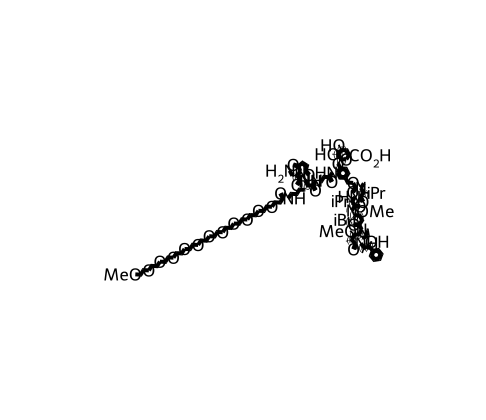 CC[C@H](C)[C@@H]([C@@H](CC(=O)N1CCC[C@H]1[C@H](OC)[C@@H](C)C(=O)N[C@H](C)[C@@H](O)c1ccccc1)OC)N(C)C(=O)[C@@H](NC(=O)[C@H](C(C)C)N(C)C(=O)OCc1ccc(O[C@@H]2OC(C(=O)O)=C[C@H](O)[C@H]2O)c(NC(=O)CCNC(=O)[C@H](CCCCNC(=O)CCOCCOCCOCCOCCOCCOCCOCCOCCOCCOCCOCCOC)NC(=O)[C@@H](CN)N2C(=O)C=CC2=O)c1)C(C)C